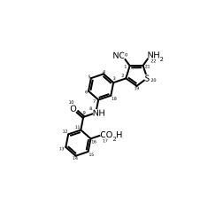 N#Cc1c(-c2cccc(NC(=O)c3ccccc3C(=O)O)c2)csc1N